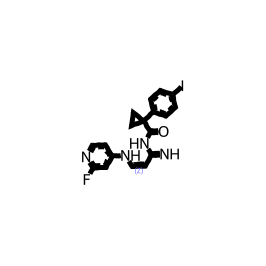 N=C(/C=C\Nc1ccnc(F)c1)NC(=O)C1(c2ccc(I)cc2)CC1